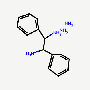 N.N.NC(c1ccccc1)C(N)c1ccccc1